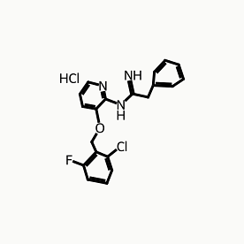 Cl.N=C(Cc1ccccc1)Nc1ncccc1OCc1c(F)cccc1Cl